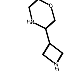 C1COCC(C2CNC2)N1